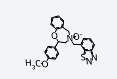 COc1ccc(C2C[N+]([O-])(Cc3cccc4nnsc34)Cc3ccccc3O2)cc1